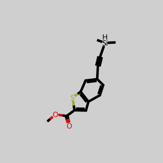 COC(=O)c1cc2ccc(C#C[SiH](C)C)cc2s1